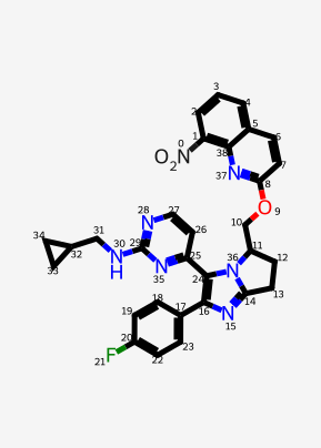 O=[N+]([O-])c1cccc2ccc(OCC3CCc4nc(-c5ccc(F)cc5)c(-c5ccnc(NCC6CC6)n5)n43)nc12